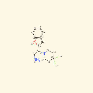 NCC(c1cc2ccccc2o1)N1CCC(F)(F)CC1